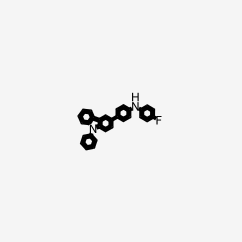 Fc1ccc(Nc2ccc(-c3ccc4c(c3)c3ccccc3n4-c3ccccc3)cc2)cc1